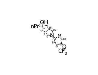 CCCC1(O)CC2CN(c3ccc(OC(F)(F)F)cc3)CC2C1